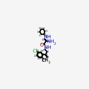 CC/C=C(/CCNC(=O)/C(N)=C/NC1CCCCC1)c1cc(Cl)ccc1C